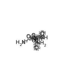 NCCCC[C@@H]([C]=O)NC(=O)[C@@H](Cc1c[nH]c2ccccc12)NC(=O)[C@@H](N)Cc1ccccc1